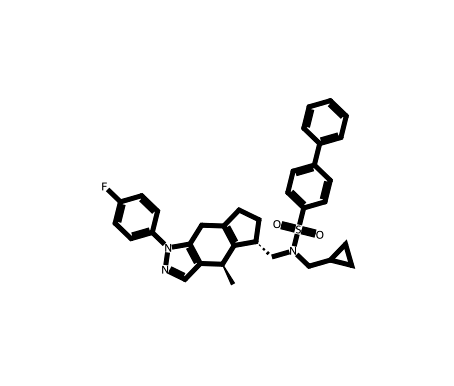 C[C@@H]1C2=C(CC[C@@H]2CN(CC2CC2)S(=O)(=O)c2ccc(-c3ccccc3)cc2)Cc2c1cnn2-c1ccc(F)cc1